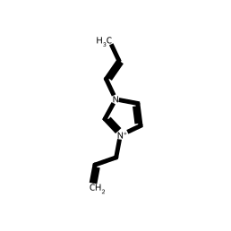 C=CC[n+]1ccn(C=CC)c1